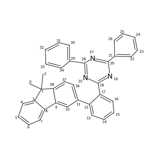 CC1(C)c2ccccc2-c2cc(-c3ccccc3-c3nc(-c4ccccc4)nc(-c4ccccc4)n3)ccc21